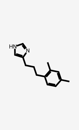 Cc1ccc(CCCc2c[nH]cn2)c(C)c1